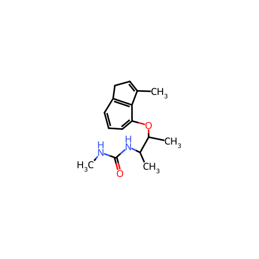 CNC(=O)NC(C)C(C)Oc1cccc2c1C(C)=CC2